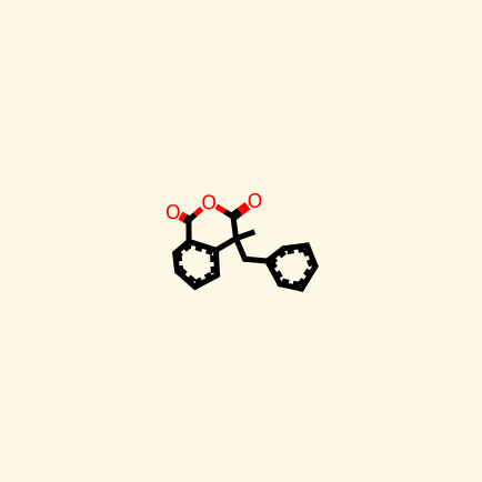 CC1(Cc2ccccc2)C(=O)OC(=O)c2ccccc21